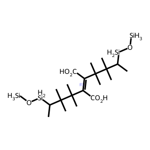 CC([SiH2]O[SiH3])C(C)(C)C(C)(C)/C(C(=O)O)=C(\C(=O)O)C(C)(C)C(C)(C)C(C)[SiH2]O[SiH3]